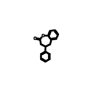 O=C1CC(c2ccccc2)Cc2ccccc2O1